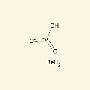 [BeH2].[O]=[V](=[O])[OH]